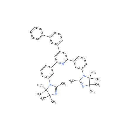 CC1=NC(C)(C)C(C)(C)N1c1cccc(-c2cc(-c3cccc(-c4ccccc4)c3)cc(-c3cccc(N4C(C)=NC(C)(C)C4(C)C)c3)n2)c1